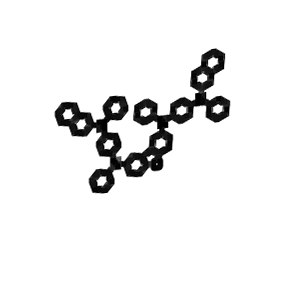 c1ccc(N(c2ccc(N(c3ccccc3)c3ccc4oc5ccc(N(c6ccccc6)c6ccc(N(c7ccccc7)c7ccc8ccccc8c7)cc6)cc5c4c3)cc2)c2ccc3ccccc3c2)cc1